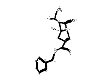 CC(O)[C@H]1C(=O)N2C=C(C(=O)OCc3ccccc3)C[C@@H]12